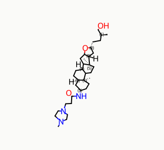 C[C@H](CO)CC[C@@H]1C[C@H]2C(CC3[C@@H]4CC[C@@H]5C[C@@H](NC(=O)CCN6CCN(C)CC6)CC[C@]5(C)C4CC[C@@]32C)O1